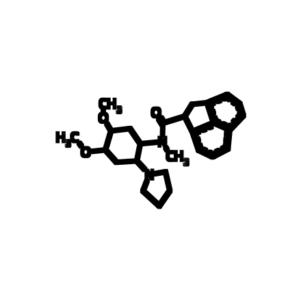 COC1CC(N2CCCC2)C(N(C)C(=O)C2Cc3cccc4cccc2c34)CC1OC